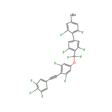 CCCCc1cc(F)c(-c2cc(F)c(C(F)(F)Oc3cc(F)c(C#Cc4cc(F)c(F)c(F)c4)c(F)c3)c(F)c2)c(F)c1